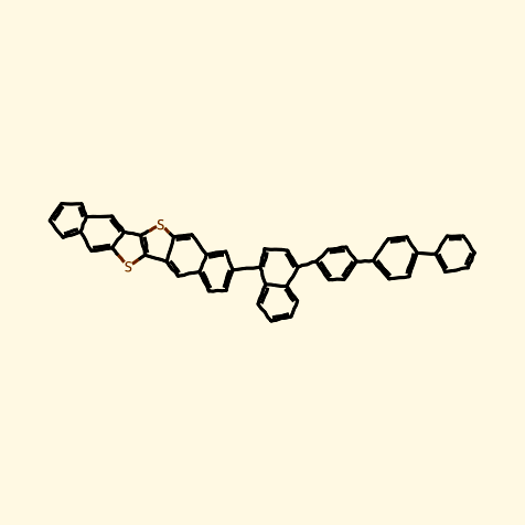 c1ccc(-c2ccc(-c3ccc(-c4ccc(-c5ccc6cc7c(cc6c5)sc5c6cc8ccccc8cc6sc75)c5ccccc45)cc3)cc2)cc1